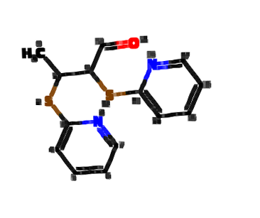 CC(Sc1ccccn1)C(C=O)Sc1ccccn1